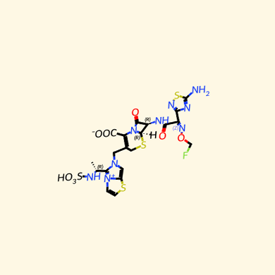 C[C@@H](NS(=O)(=O)O)c1n(CC2=C(C(=O)[O-])N3C(=O)[C@@H](NC(=O)/C(=N\OCF)c4nsc(N)n4)[C@H]3SC2)cc2scc[n+]12